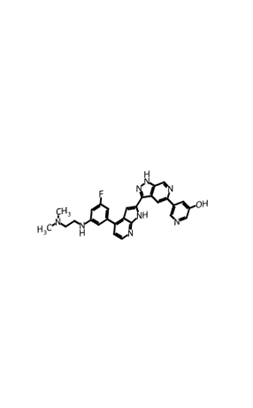 CN(C)CCNc1cc(F)cc(-c2ccnc3[nH]c(-c4n[nH]c5cnc(-c6cncc(O)c6)cc45)cc23)c1